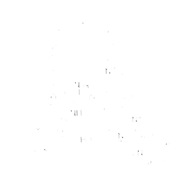 Cc1csc2c(OC3CC4C(=O)NC5(C(=O)ONC(=O)OC6CCCC6)CC5/C=C/CCCCCCC(=O)N4C3)nc(-c3ccccn3)nc12